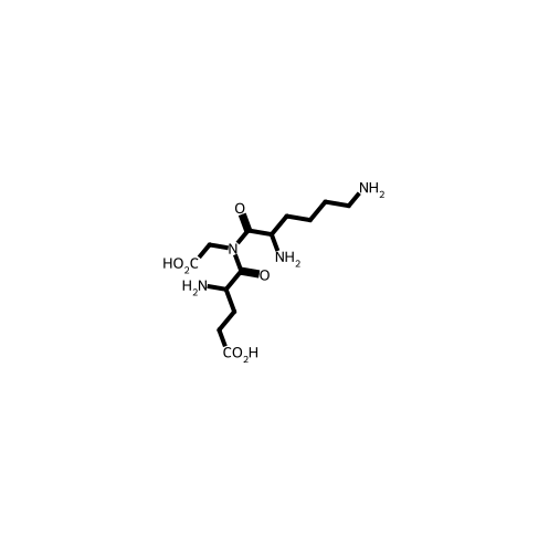 NCCCCC(N)C(=O)N(CC(=O)O)C(=O)C(N)CCC(=O)O